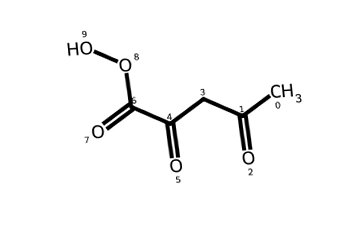 CC(=O)CC(=O)C(=O)OO